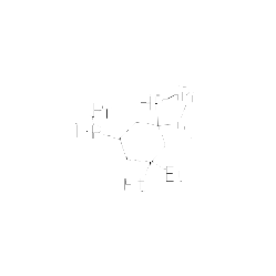 CCC1(CC)CC(PC(C)C)C[C](PC(C)C)([Ti]([CH3])[CH3])C1